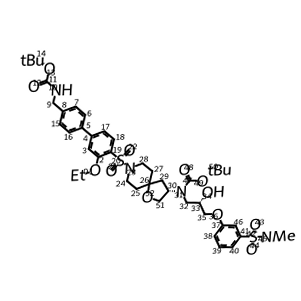 CCOc1cc(-c2ccc(CNC(=O)OC(C)(C)C)cc2)ccc1S(=O)(=O)N1CCC2(CC1)C[C@H](N(C[C@H](O)COc1cccc(S(=O)(=O)NC)c1)C(=O)OC(C)(C)C)CO2